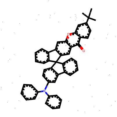 CC(C)(C)c1ccc2c(=O)c3cc4c(cc3oc2c1)-c1ccccc1C41c2ccccc2-c2cc(N(c3ccccc3)c3ccccc3)ccc21